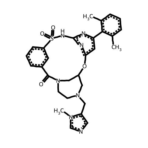 Cc1cccc(C)c1-c1cc2nc(n1)NS(=O)(=O)c1cccc(c1)C(=O)N1CCN(Cc3cncn3C)CC(C1)O2